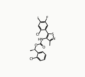 Cc1nsc(-c2cc(F)c(I)cc2Cl)c1NC(=O)O[C@H](C)c1ccccc1Cl